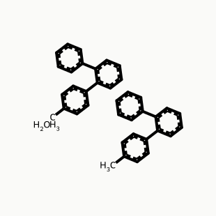 Cc1ccc(-c2ccccc2-c2ccccc2)cc1.Cc1ccc(-c2ccccc2-c2ccccc2)cc1.O